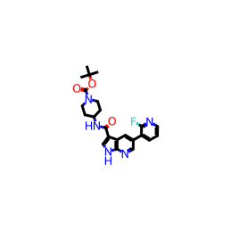 CC(C)(C)OC(=O)N1CCC(NC(=O)c2c[nH]c3ncc(-c4cccnc4F)cc23)CC1